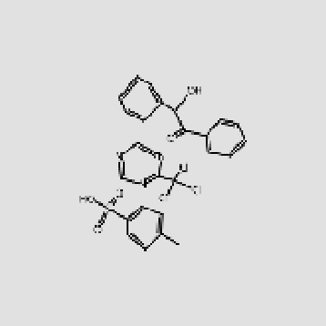 Cc1ccc(S(=O)(=O)O)cc1.ClC(Cl)(Cl)c1ncncn1.O=C(c1ccccc1)C(O)c1ccccc1